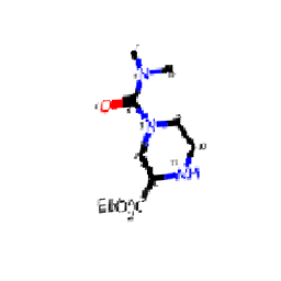 CCOC(=O)C1CN(C(=O)N(C)C)CCN1